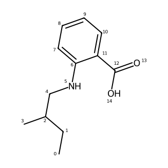 CCC(C)CNc1ccccc1C(=O)O